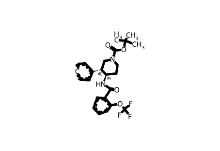 CC(C)(C)OC(=O)N1CC[C@@H](NC(=O)c2ccccc2OC(F)(F)F)[C@H](c2ccccc2)C1